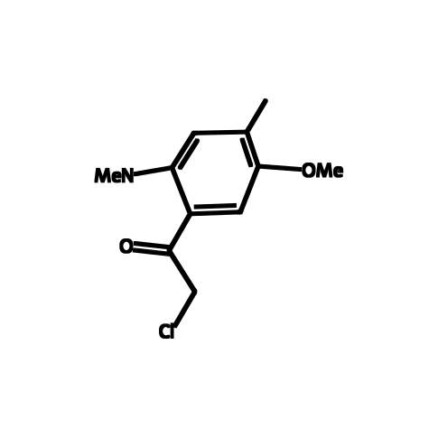 CNc1cc(C)c(OC)cc1C(=O)CCl